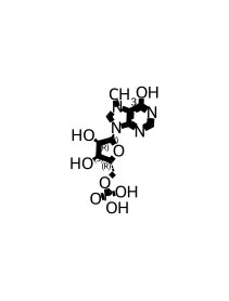 CN1CN([C@@H]2O[C@H](COP(=O)(O)O)[C@@H](O)[C@H]2O)c2ncnc(O)c21